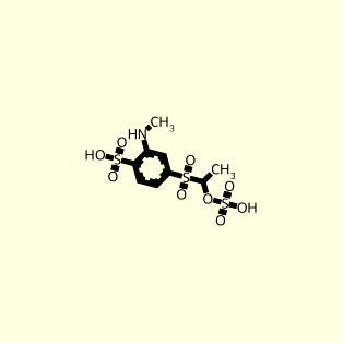 CNc1cc(S(=O)(=O)C(C)OS(=O)(=O)O)ccc1S(=O)(=O)O